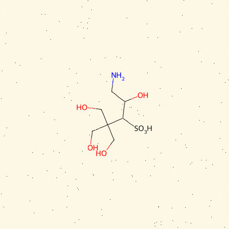 NCC(O)C(C(CO)(CO)CO)S(=O)(=O)O